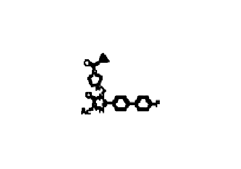 CC(=O)n1nc(-c2ccc(-c3ccc(F)cc3)cc2)n(C[C@@H]2CCN(C(=O)C3CC3)C2)c1=O